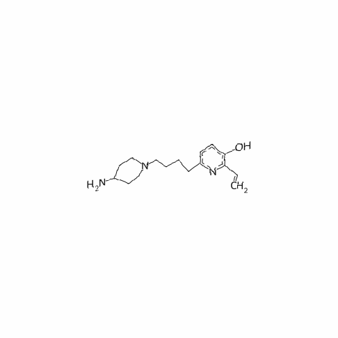 C=Cc1nc(CCCCN2CCC(N)CC2)ccc1O